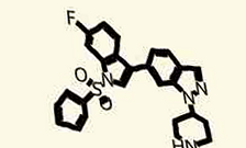 O=S(=O)(c1ccccc1)n1cc(-c2ccc3cnn(C4CCNCC4)c3c2)c2ccc(F)cc21